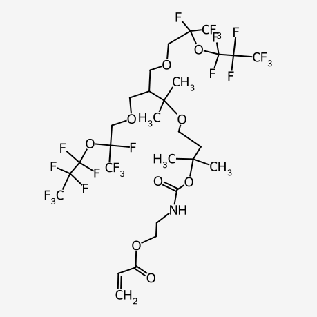 C=CC(=O)OCCNC(=O)OC(C)(C)CCOC(C)(C)C(COCC(F)(OC(F)(F)C(F)(F)C(F)(F)F)C(F)(F)F)COCC(F)(OC(F)(F)C(F)(F)C(F)(F)F)C(F)(F)F